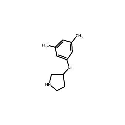 Cc1cc(C)cc(NC2CCNC2)c1